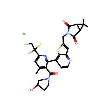 Cc1cc(C(F)(F)CF)nc(-c2ccnc3cc(CN4C(=O)C5C(C4=O)C5(C)C)sc23)c1C(=O)N1CCC(O)C1.Cl